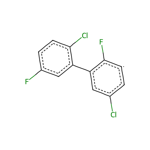 Fc1ccc(Cl)c(-c2cc(Cl)c[c]c2F)c1